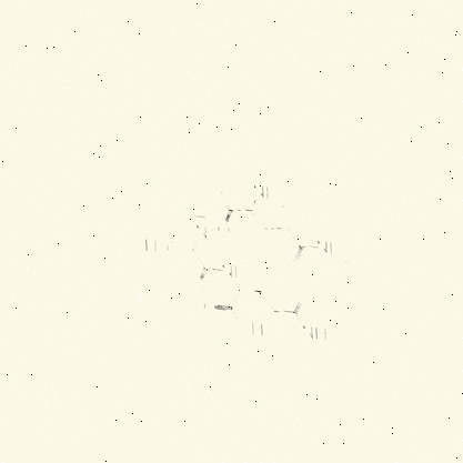 C[C@H](N)C(=O)N[C@@H](CCC(N)=O)C(=O)O.NC(=O)CC[C@H](N)C(=O)O